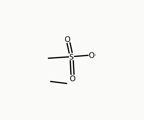 CC.CS([O])(=O)=O